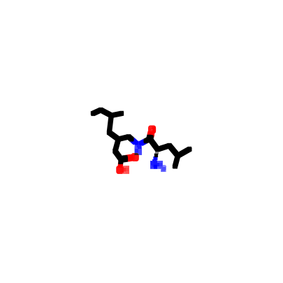 CCC(C)CC(CNC(=O)[C@@H](N)CC(C)C)CC(=O)O